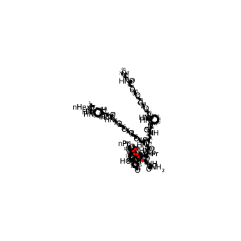 CCCCCCC(C)(C)N1NNC2=C1CC[C@@H]1[C@H](CC2)[C@@H]1COC(=O)NCCOCCOCCOCCOCCC(=O)N[C@H](CCCCNC(=O)COC1CCCCCC2=C1NNN2CCOCCOCCOCCOCCC(=O)NCC[N+](C)(C)C)C(=O)N[C@H](C(=O)N[C@@H](CCCNC(N)=O)C(=O)NCC(=O)[C@@]12OC(CCC)O[C@@H]1CC1[C@@H]3C[C@H](F)C4=CC(=O)C=C[C@]4(C)[C@@]3(F)[C@@H](O)C[C@@]12C)C(C)C